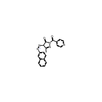 CC1=NN(C(=O)c2ccncc2)C(=O)C1/N=N\c1ccc2ccccc2c1